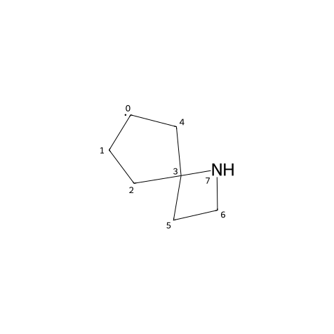 [CH]1CCC2(C1)CCN2